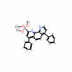 CCO[Si](OCC)(OCC)c1cc(-c2ccccc2)c2ccc3c(-c4ccccc4)ccnc3c2n1